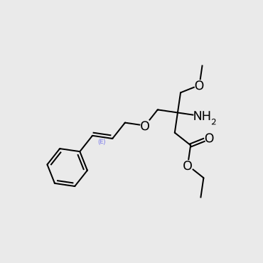 CCOC(=O)CC(N)(COC)COC/C=C/c1ccccc1